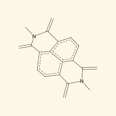 C=C1c2ccc3c4c(ccc(c24)C(=C)N1C)C(=C)N(C)C3=C